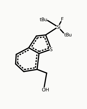 CC(C)(C)[Si](F)(c1cc2cccc(CO)c2s1)C(C)(C)C